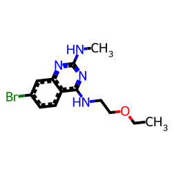 CCOCCNc1nc(NC)nc2cc(Br)ccc12